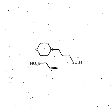 C=CCS(=O)(=O)O.O=S(=O)(O)CCCN1CCOCC1